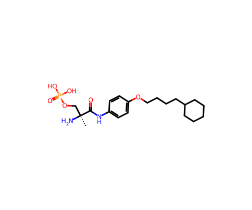 C[C@](N)(COP(=O)(O)O)C(=O)Nc1ccc(OCCCCC2CCCCC2)cc1